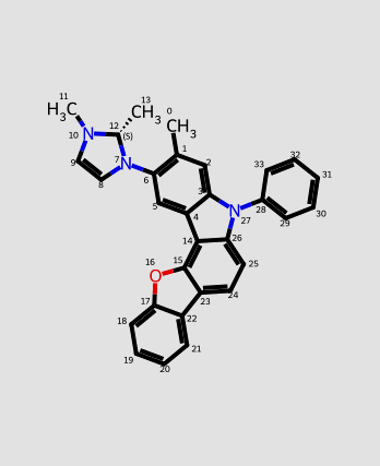 Cc1cc2c(cc1N1C=CN(C)[C@@H]1C)c1c3oc4ccccc4c3ccc1n2-c1ccccc1